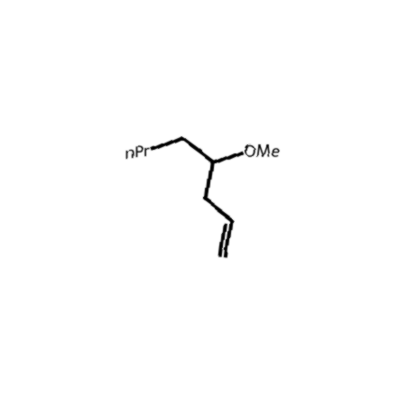 [CH2]CCCC(CC=C)OC